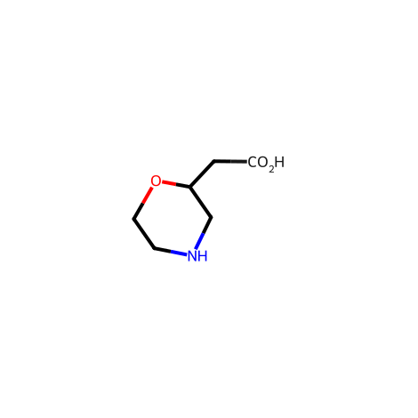 O=C(O)CC1CNCCO1